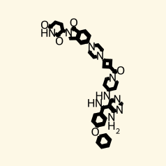 N=C(c1ccc(Oc2ccccc2)cc1)c1c(N)ncnc1NC1CCN(C(=O)C2CC(N3CCN(c4ccc5c(c4)CN(C4CCC(=O)NC4=O)C5=O)CC3)C2)CC1